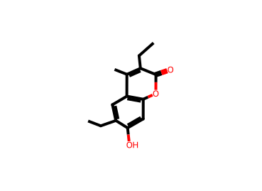 CCc1cc2c(C)c(CC)c(=O)oc2cc1O